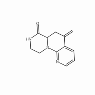 C=C1CC2C(=O)NCCN2c2ncccc21